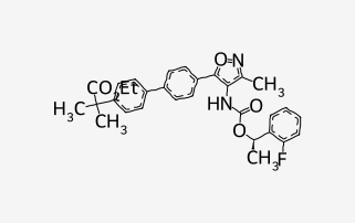 CCOC(=O)C(C)(C)c1ccc(-c2ccc(-c3onc(C)c3NC(=O)O[C@H](C)c3ccccc3F)cc2)cc1